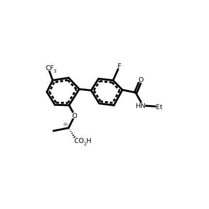 CCNC(=O)c1ccc(-c2cc(C(F)(F)F)ccc2O[C@@H](C)C(=O)O)cc1F